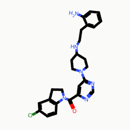 Nc1ccccc1CCNC1CCN(c2cc(C(=O)N3CCc4cc(Cl)ccc43)ncn2)CC1